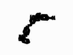 N#Cc1ccc(S(=O)(=O)Nc2ccc(CCN3CCN(c4nsc5ccccc45)CC3)cc2)cc1